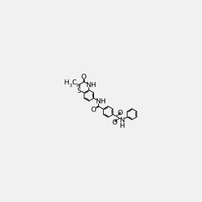 C[C@H]1Sc2ccc(NC(=O)c3ccc(S(=O)(=O)Nc4ccccc4)cc3)cc2NC1=O